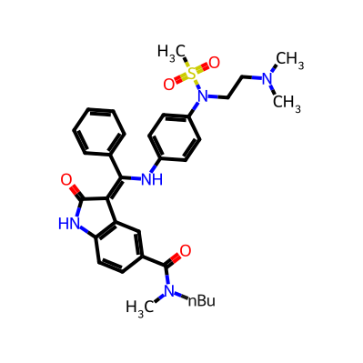 CCCCN(C)C(=O)c1ccc2c(c1)C(=C(Nc1ccc(N(CCN(C)C)S(C)(=O)=O)cc1)c1ccccc1)C(=O)N2